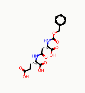 O=C(O)CC[C@H](NC(=O)C[C@H](NC(=O)OCc1ccccc1)C(=O)O)C(=O)O